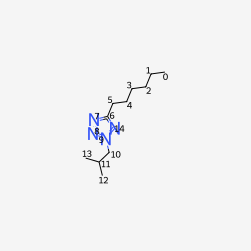 CCCCCCc1nnn(CC(C)C)n1